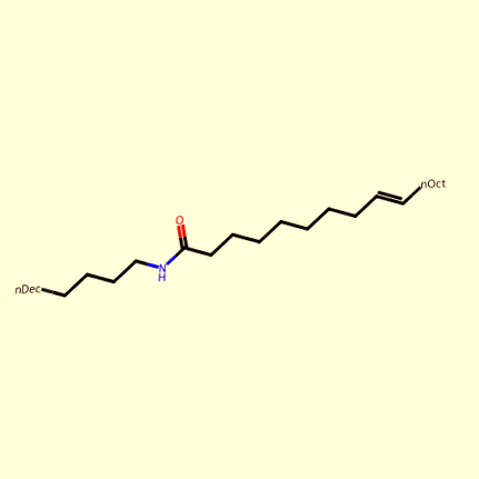 CCCCCCCCC=CCCCCCCCC(=O)NCCCCCCCCCCCCCC